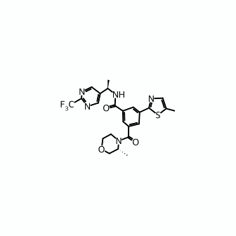 Cc1cnc(-c2cc(C(=O)N[C@H](C)c3cnc(C(F)(F)F)nc3)cc(C(=O)N3CCOC[C@H]3C)c2)s1